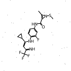 CSN1C(C)=C1C(=O)Nc1ccc(N/C(=C\C(=N)C(F)(F)F)C2CC2)c(F)c1